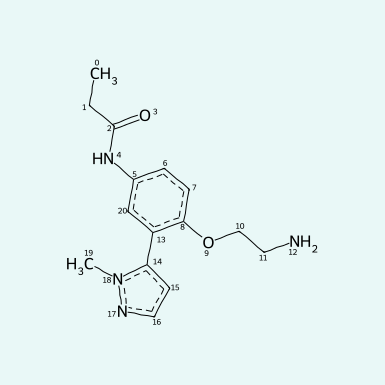 CCC(=O)Nc1ccc(OCCN)c(-c2ccnn2C)c1